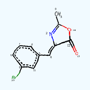 CC1=N/C(=C\c2cccc(Br)c2)C(=O)O1